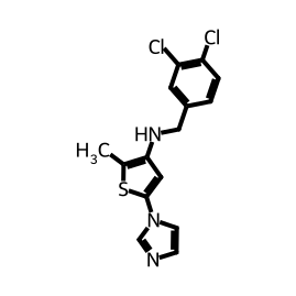 Cc1sc(-n2ccnc2)cc1NCc1ccc(Cl)c(Cl)c1